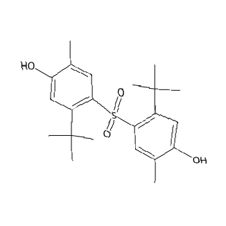 Cc1cc(S(=O)(=O)c2cc(C)c(O)cc2C(C)(C)C)c(C(C)(C)C)cc1O